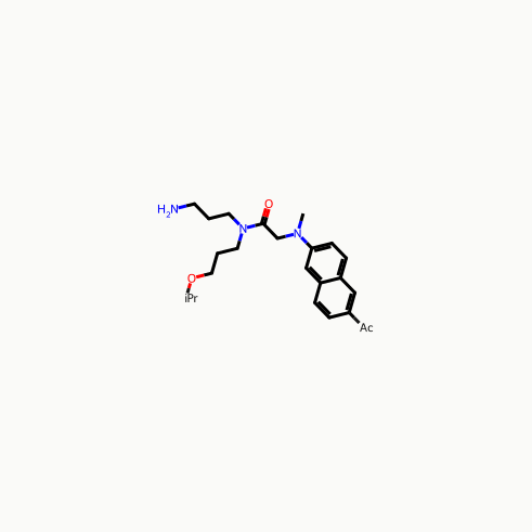 CC(=O)c1ccc2cc(N(C)CC(=O)N(CCCN)CCCOC(C)C)ccc2c1